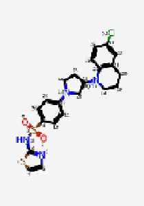 O=S(=O)(Nc1nccs1)c1ccc(N2CC[C@@H](N3CCCc4cc(Cl)ccc43)C2)cc1